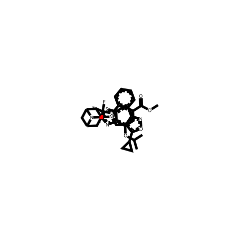 COC(=O)c1cc(OC(C)C)c2nc(N3C4CC(NCc5c(-c6ccccc6OC(F)(F)F)noc5C5CC5)CC3C4)sc2c1